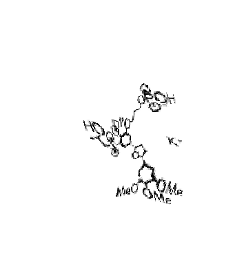 CCCOc1c(OCCCOP(=O)([O-])O)cc([C@@H]2CC[C@@H](c3cc(OC)c(OC)c(OC)c3)O2)cc1S(=O)(=O)C[C@@H](C)O.[K+]